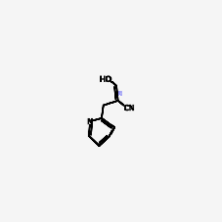 N#C/C(=C/O)Cc1ccccn1